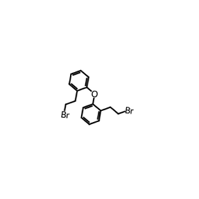 BrCCc1ccccc1Oc1ccccc1CCBr